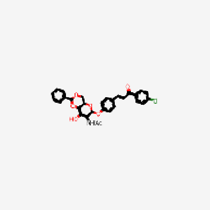 CC(=O)NC1C(Oc2ccc(/C=C/C(=O)c3ccc(Cl)cc3)cc2)OC2COC(c3ccccc3)OC2C1O